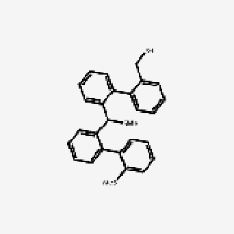 CSc1ccccc1-c1ccccc1C(SC)c1ccccc1-c1ccccc1CS